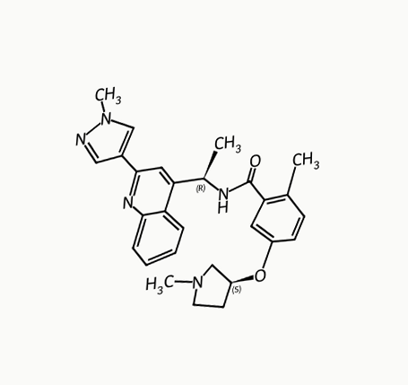 Cc1ccc(O[C@H]2CCN(C)C2)cc1C(=O)N[C@H](C)c1cc(-c2cnn(C)c2)nc2ccccc12